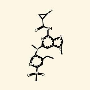 CCc1cc(S(C)(=O)=O)ncc1N(C)c1cc2c(ncn2C)c(NC(=O)[C@H]2C[C@H]2F)n1